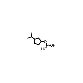 CC(C)C1CCC(ON(O)O)C1